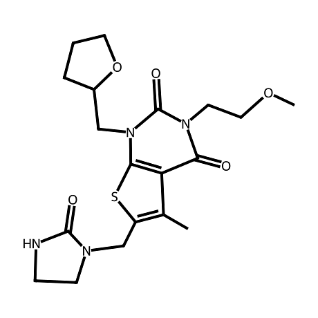 COCCn1c(=O)c2c(C)c(CN3CCNC3=O)sc2n(CC2CCCO2)c1=O